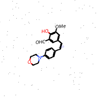 COc1cc(/C=C\c2ccc(N3CCOCC3)cc2)cc(C=O)c1O